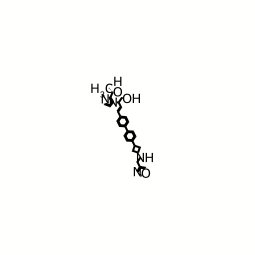 C[C@H](O)c1nccn1C(/C=C/c1ccc(-c2ccc(C3CC(NCc4cocn4)C3)cc2)cc1)CO